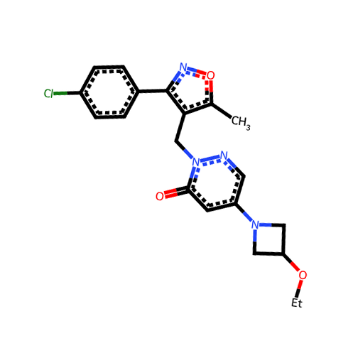 CCOC1CN(c2cnn(Cc3c(-c4ccc(Cl)cc4)noc3C)c(=O)c2)C1